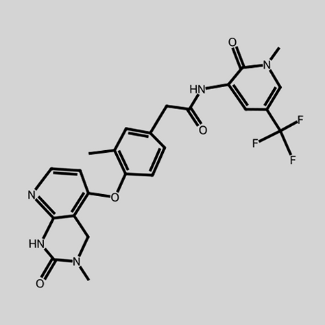 Cc1cc(CC(=O)Nc2cc(C(F)(F)F)cn(C)c2=O)ccc1Oc1ccnc2c1CN(C)C(=O)N2